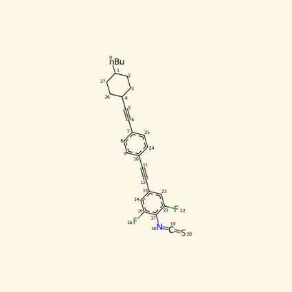 CCCCC1CCC(C#Cc2ccc(C#Cc3cc(F)c(N=C=S)c(F)c3)cc2)CC1